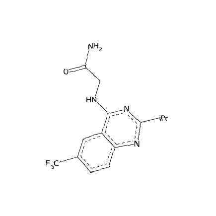 CC(C)c1nc(NCC(N)=O)c2cc(C(F)(F)F)ccc2n1